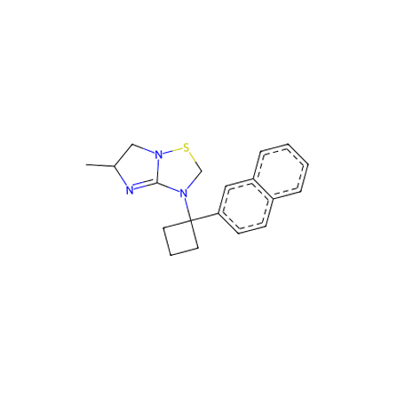 CC1CN2SCN(C3(c4ccc5ccccc5c4)CCC3)C2=N1